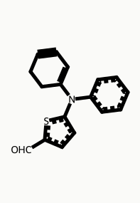 O=Cc1ccc(N(C2=CC#CCC2)c2ccccc2)s1